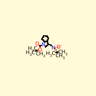 CC(C)(C)OC(=O)n1cc(C=N[S@@+]([O-])C(C)(C)C)c2ccccc21